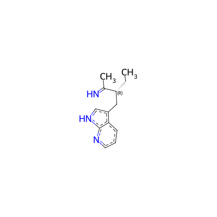 CC[C@H](Cc1c[nH]c2ncccc12)C(C)=N